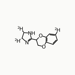 [2H]c1ccc2c(c1)OC(C1=N[C@H]([2H])[C@@H]([2H])N1)CO2